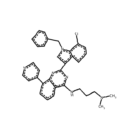 CN(C)CCCNc1nc(-c2cn(Cc3ccccc3)c3c(Cl)cccc23)nc2c(-c3ccncc3)cccc12